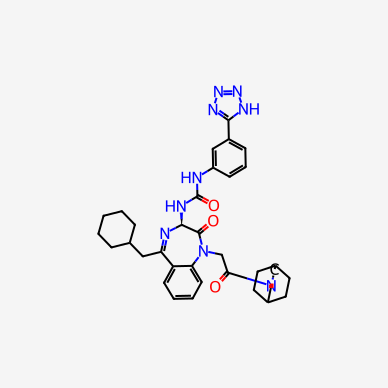 O=C(Nc1cccc(-c2nnn[nH]2)c1)N[C@@H]1N=C(CC2CCCCC2)c2ccccc2N(CC(=O)N2CC3CCC(CC3)C2)C1=O